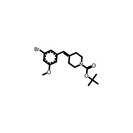 COc1cc(Br)cc(C=C2CCN(C(=O)OC(C)(C)C)CC2)c1